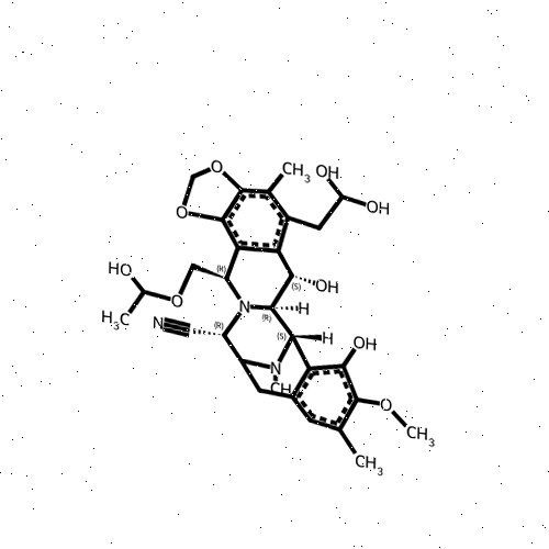 COc1c(C)cc2c(c1O)[C@H]1[C@@H]3[C@@H](O)c4c(CC(O)O)c(C)c5c(c4[C@H](COC(C)O)N3[C@@H](C#N)C(C2)N1C)OCO5